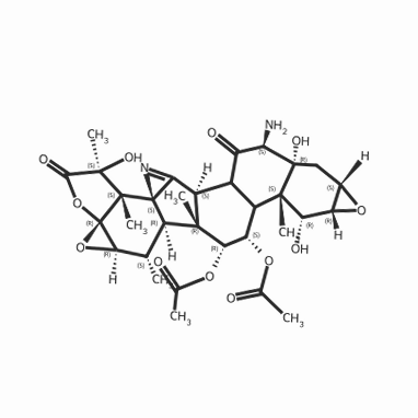 CC(=O)O[C@H]1C2C(C(=O)[C@@H](N)[C@@]3(O)C[C@@H]4O[C@@H]4[C@H](O)[C@]23C)[C@@H]2C3=N[C@]34[C@H]([C@H](C)[C@H]3O[C@]35OC(=O)[C@@](C)(O)[C@@]54C)[C@@]2(C)[C@H]1OC(C)=O